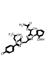 COc1ccccc1-n1nc(Cn2nc(-c3ccc(Cl)cc3)n(C[C@H](O)C(F)(F)F)c2=O)nc1C(C)OC(N)=O